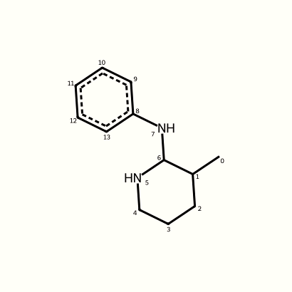 CC1CCCNC1Nc1ccccc1